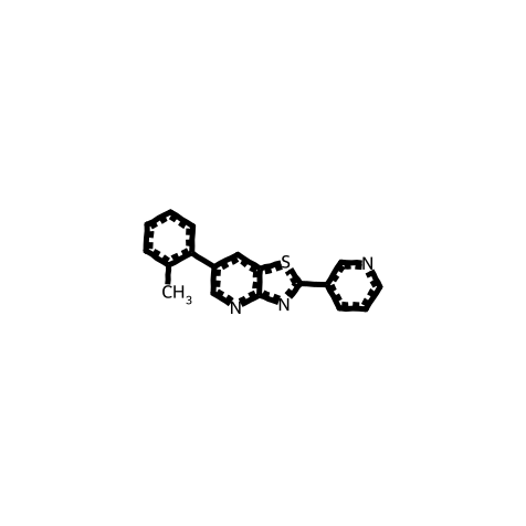 Cc1ccccc1-c1cnc2nc(-c3cccnc3)sc2c1